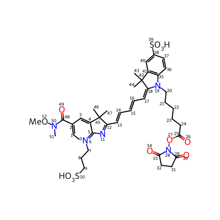 C\C=C(/C=C1\C(=N\CCCS(=O)(=O)O)N=C(/C=C/C=C/C=C2/N(CCCCCC(=O)ON3C(=O)CCC3=O)c3ccc(S(=O)(=O)O)cc3C2(C)C)C1(C)C)C(=O)N(C)OC